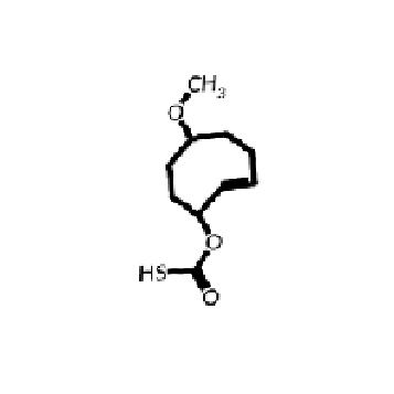 COC1CC/C=C/C(OC(=O)S)CC1